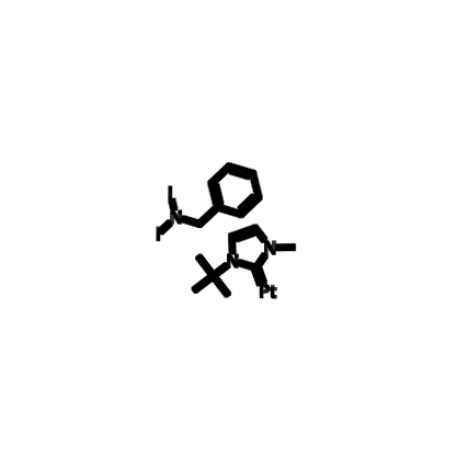 Cn1ccn(C(C)(C)C)[c]1=[Pt].IN(I)Cc1ccccc1